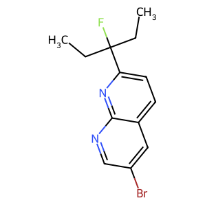 CCC(F)(CC)c1ccc2cc(Br)cnc2n1